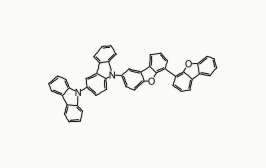 c1ccc2c(c1)oc1c(-c3cccc4c3oc3ccc(-n5c6ccccc6c6cc(-n7c8ccccc8c8ccccc87)ccc65)cc34)cccc12